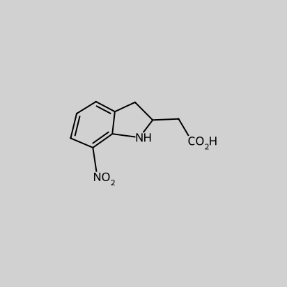 O=C(O)CC1Cc2cccc([N+](=O)[O-])c2N1